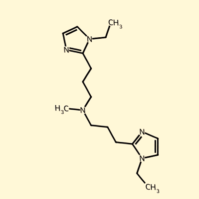 CCn1ccnc1CCCN(C)CCCc1nccn1CC